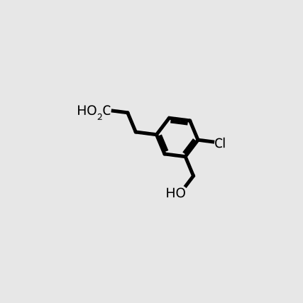 O=C(O)CCc1ccc(Cl)c(CO)c1